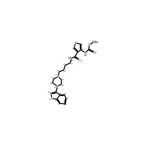 CC(C)(C)OC(=O)Nc1cscc1C(=O)NCCCCN1CCN(c2nsc3ccccc23)CC1